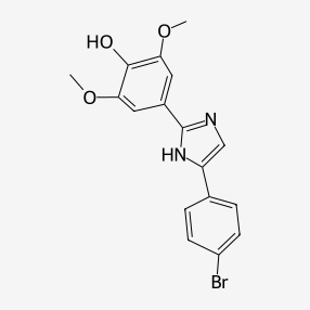 COc1cc(-c2ncc(-c3ccc(Br)cc3)[nH]2)cc(OC)c1O